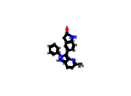 O=C1Cc2cc(-c3c4nc(C(F)(F)F)ccc4nn3-c3ccccc3)ccc2N1